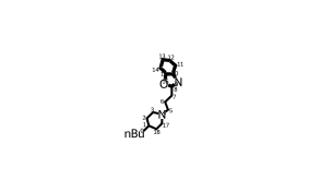 CCCCC1CCN(CCCc2nc3ccccc3o2)CC1